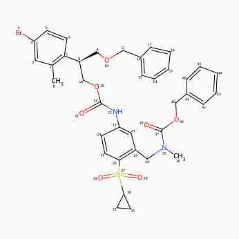 Cc1cc(Br)ccc1[C@@H](COCc1ccccc1)COC(=O)Nc1ccc(S(=O)(=O)C2CC2)c(CN(C)C(=O)OCc2ccccc2)c1